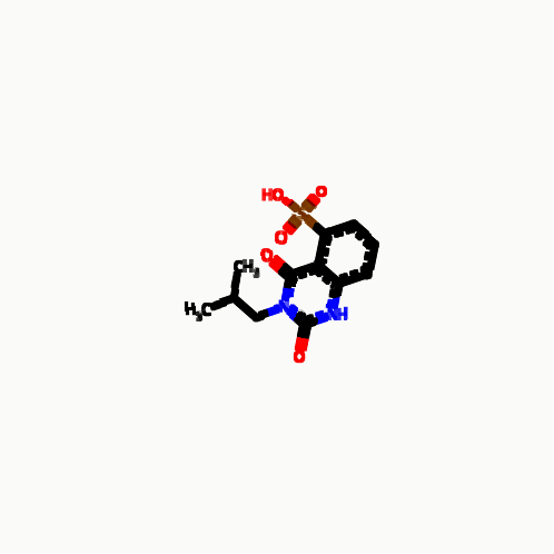 CC(C)Cn1c(=O)[nH]c2cccc(S(=O)(=O)O)c2c1=O